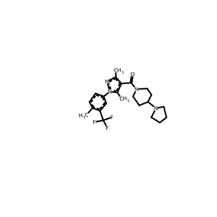 Cc1ccc(-n2nc(C)c(C(=O)N3CCC(N4CCCC4)CC3)c2C)cc1C(F)(F)F